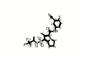 Cc1c(S(=O)(=O)NC(C)C(F)(F)F)c2n(c1C(=O)Nc1ccc(F)c(C#N)c1)CCC2